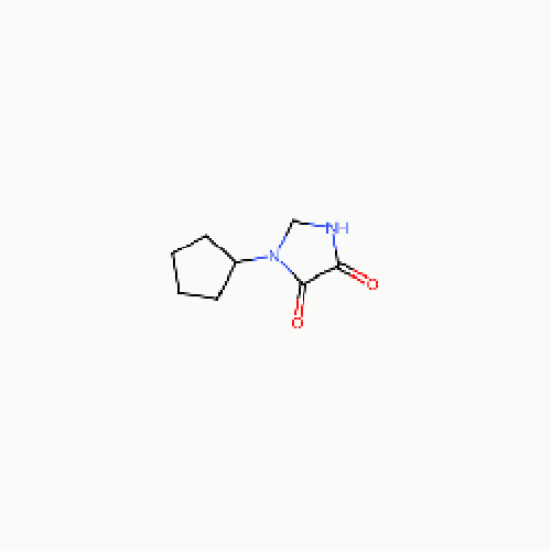 O=C1NCN(C2CCCC2)C1=O